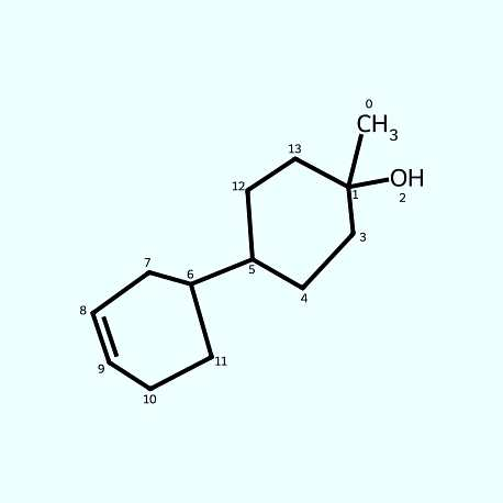 CC1(O)CCC(C2CC=CCC2)CC1